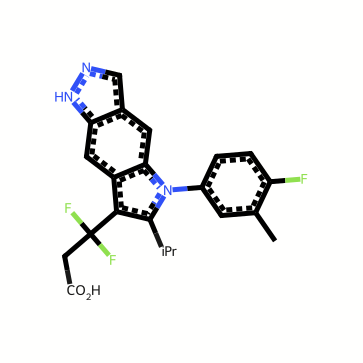 Cc1cc(-n2c(C(C)C)c(C(F)(F)CC(=O)O)c3cc4[nH]ncc4cc32)ccc1F